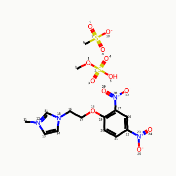 COS(=O)(=O)O.CS(=O)(=O)[O-].C[n+]1ccn(CCOc2ccc([N+](=O)[O-])cc2[N+](=O)[O-])c1